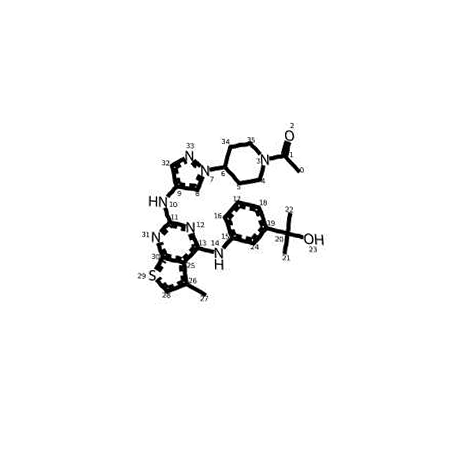 CC(=O)N1CCC(n2cc(Nc3nc(Nc4cccc(C(C)(C)O)c4)c4c(C)csc4n3)cn2)CC1